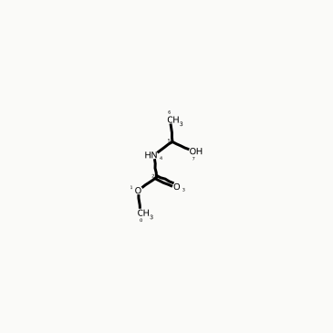 COC(=O)NC(C)O